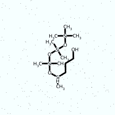 C[SiH](CCCO)O[Si](C)(C)O[Si](C)(C)O[Si](C)(C)C